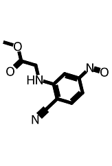 COC(=O)CNc1cc(N=O)ccc1C#N